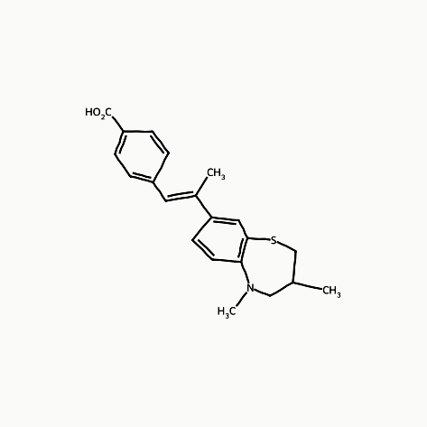 CC(=Cc1ccc(C(=O)O)cc1)c1ccc2c(c1)SCC(C)CN2C